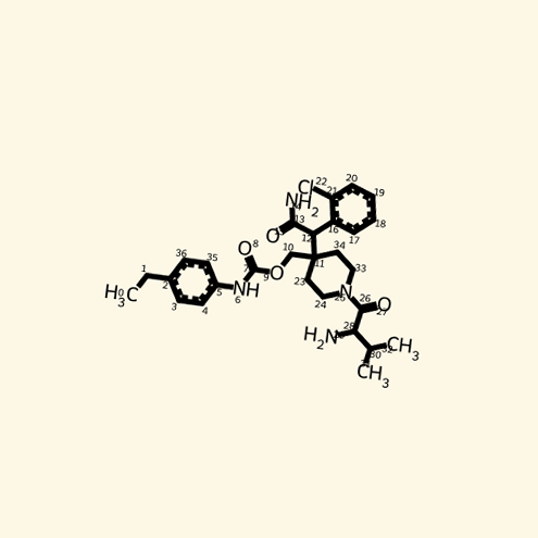 CCc1ccc(NC(=O)OCC2(C(C(N)=O)c3ccccc3Cl)CCN(C(=O)C(N)C(C)C)CC2)cc1